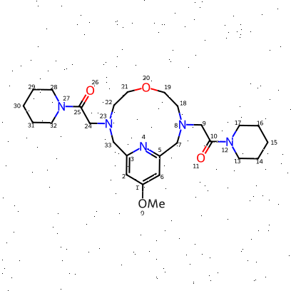 COc1cc2nc(c1)CN(CC(=O)N1CCCCC1)CCOCCN(CC(=O)N1CCCCC1)C2